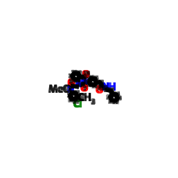 CON(C(=O)Cn1c(=O)n(-c2ccc(CC(=O)NCCc3ccccc3)cc2)c(=O)c2ccccc21)c1ccc(Cl)c(C)c1